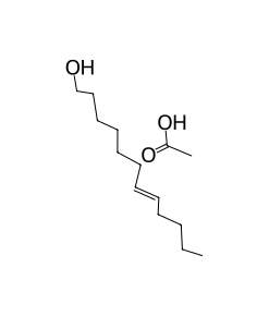 CC(=O)O.CCCCC=CCCCCCCO